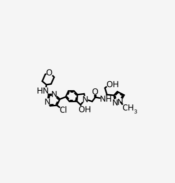 Cn1ccc(C(CO)NC(=O)CN2Cc3ccc(-c4nc(NC5CCOCC5)ncc4Cl)cc3C2O)n1